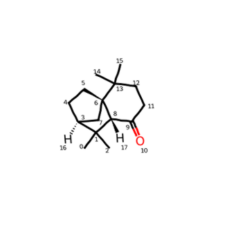 CC1(C)[C@H]2CC[C@]3(C2)[C@@H]1C(=O)CCC3(C)C